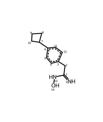 N=C(Cc1ccc(C2CCC2)cc1)NO